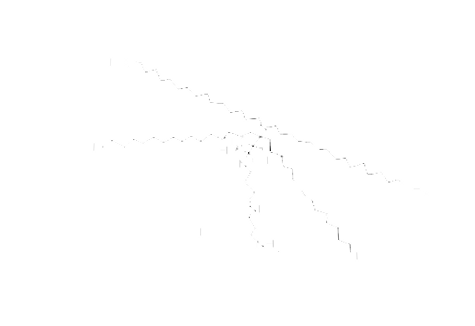 CCCCCCCCCCCCCCCCN(CCCCCCCCCCCCCCCC)C(CCCCCCCCCCCCCCCC)(CCCCCCCCCCCCCCCC)C(C)(C)C(C)(C)NCCCCNCCCN.I